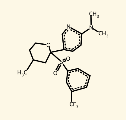 CC1CCOC(c2ccc(N(C)C)nc2)(S(=O)(=O)c2cccc(C(F)(F)F)c2)C1